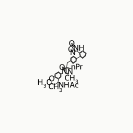 CCCc1nc(C)n(-c2ccc3c(c2)C(NC(C)=O)CC(C)(C)O3)c(=O)c1Cc1ccc(-c2ccccc2-c2noc(=O)[nH]2)cc1